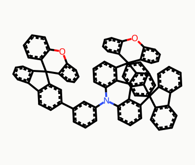 c1cc(-c2ccc3c(c2)C2(c4ccccc4Oc4ccccc42)c2ccccc2-3)cc(N(c2cccc3c2-c2ccccc2C32c3ccccc3Oc3ccccc32)c2cccc3c2-c2ccccc2C32c3ccccc3-c3ccccc32)c1